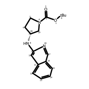 CC(C)(C)OC(=O)N1CC[C@@H](Nc2cc3ccccc3cn2)C1